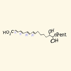 CCCCCC(O)C(O)CCCC/C=C/C=C/C=C/C=C/C(=O)O